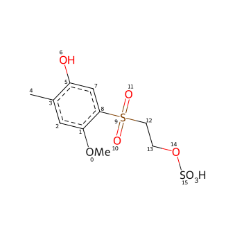 COc1cc(C)c(O)cc1S(=O)(=O)CCOS(=O)(=O)O